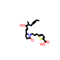 CCC#CCC(C)[C@H](O)C=CC1CCC(=O)N1CCCc1ccc(C(=O)O)s1